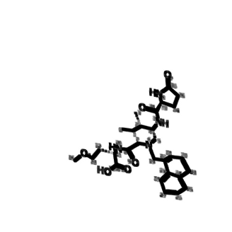 CC[C@H](C)[C@@H](CN(CC(=O)N[C@@H](CCOC)C(=O)O)Cc1cccc2ccccc12)NC(=O)[C@@H]1CCC(=O)N1